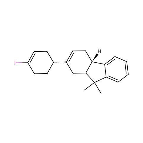 CC1(C)c2ccccc2[C@H]2CC=C([C@H]3CC=C(I)CC3)CC21